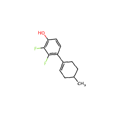 CC1CC=C(c2ccc(O)c(F)c2F)CC1